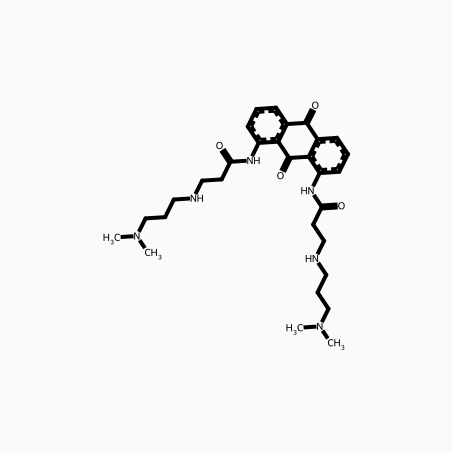 CN(C)CCCNCCC(=O)Nc1cccc2c1C(=O)c1c(NC(=O)CCNCCCN(C)C)cccc1C2=O